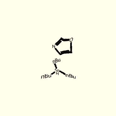 CCC[CH2][SnH]([CH2]CCC)[CH2]CCC.c1cocn1